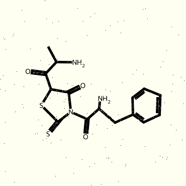 CC(N)C(=O)C1SC(=S)N(C(=O)C(N)Cc2ccccc2)C1=O